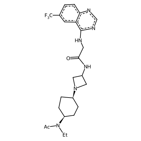 CCN(C(C)=O)[C@H]1CC[C@@H](N2CC(NC(=O)CNc3ncnc4ccc(C(F)(F)F)cc34)C2)CC1